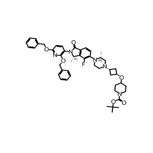 C[C@@H]1CN([C@H]2C[C@H](OC3CCN(C(=O)OC(C)(C)C)CC3)C2)CCN1c1ccc2c(c1F)[C@H](C)N(c1ccc(OCc3ccccc3)nc1OCc1ccccc1)C2=O